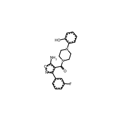 Nc1onc(-c2cccc(F)c2)c1C(=O)N1CCN(c2ccccc2O)CC1